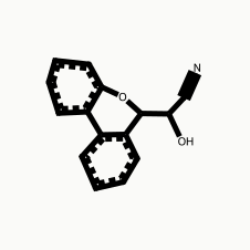 N#CC(O)C1Oc2ccccc2-c2ccccc21